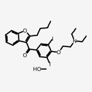 CCCCc1oc2ccccc2c1C(=O)c1cc(I)c(OCCN(CC)CC)c(I)c1.CO